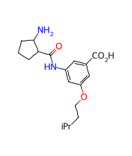 CC(C)CCOc1cc(NC(=O)C2CCCC2N)cc(C(=O)O)c1